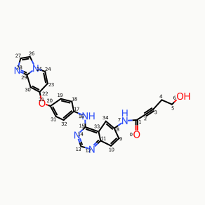 O=C(C#CCCO)Nc1ccc2ncnc(Nc3ccc(Oc4ccn5ccnc5c4)cc3)c2c1